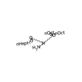 CCCCCCCCC(CCCCCCCC)OC(=O)CCCCCCCN(CCCN)CCCCCCCC(=O)OCC(C)CCCCCCC